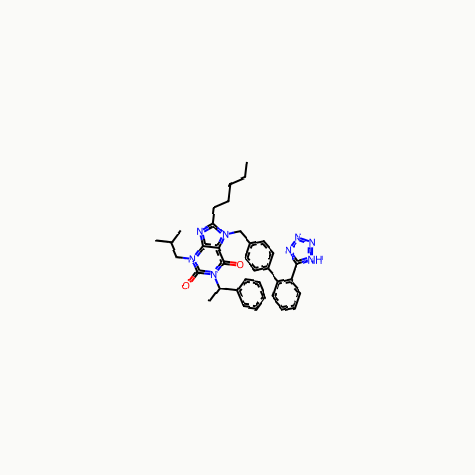 CCCCCc1nc2c(c(=O)n(C(C)c3ccccc3)c(=O)n2CC(C)C)n1Cc1ccc(-c2ccccc2-c2nnn[nH]2)cc1